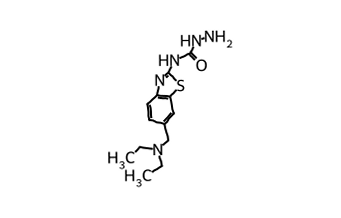 CCN(CC)Cc1ccc2nc(NC(=O)NN)sc2c1